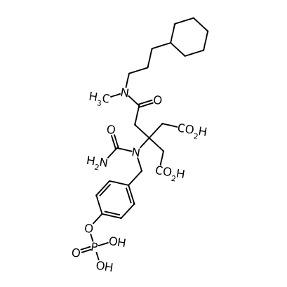 CN(CCCC1CCCCC1)C(=O)CC(CC(=O)O)(CC(=O)O)N(Cc1ccc(OP(=O)(O)O)cc1)C(N)=O